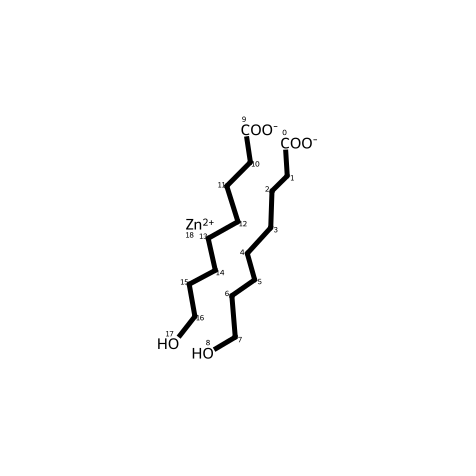 O=C([O-])CCCCCCCO.O=C([O-])CCCCCCCO.[Zn+2]